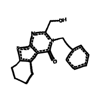 O=c1c2c3c(sc2nc(CO)n1Cc1ccccc1)CCCC3